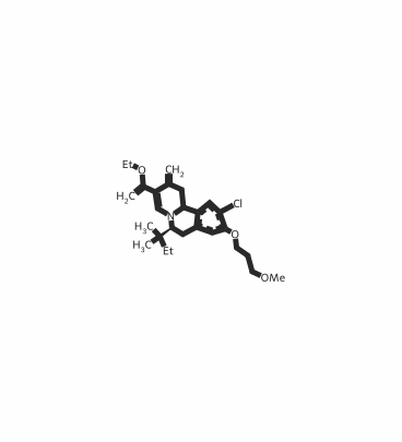 C=C1CC2c3cc(Cl)c(OCCCOC)cc3C[C@@H](C(C)(C)CC)N2C=C1C(=C)OCC